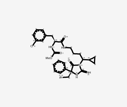 COC(=O)N[C@@H](Cc1cccc(Cl)c1)C(=O)NCCCC(C1CC1)N1C(=N)N[C@](CC(C)C)(c2ccccc2)C1=O